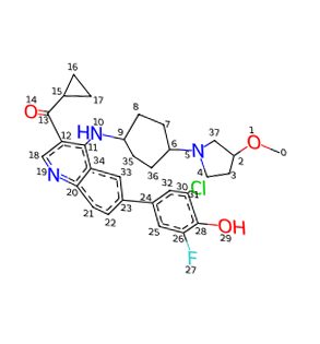 COC1CCN(C2CCC(Nc3c(C(=O)C4CC4)cnc4ccc(-c5cc(F)c(O)c(Cl)c5)cc34)CC2)C1